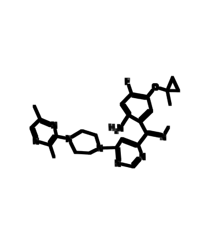 C/N=C(/c1cc(N2CCN(c3nc(C)cnc3C)CC2)ncn1)c1cc(OC2(C)CC2)c(F)cc1N